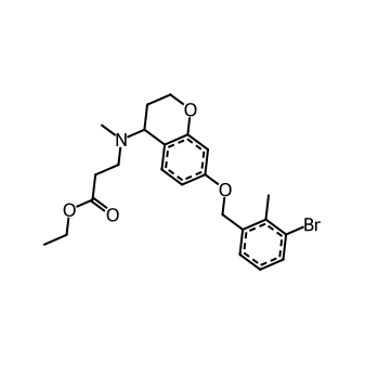 CCOC(=O)CCN(C)C1CCOc2cc(OCc3cccc(Br)c3C)ccc21